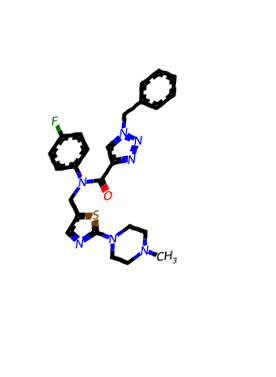 CN1CCN(c2ncc(CN(C(=O)c3cn(Cc4ccccc4)nn3)c3ccc(F)cc3)s2)CC1